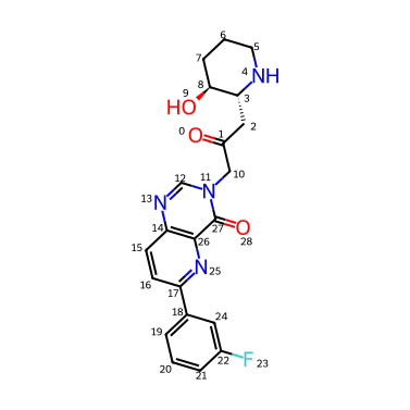 O=C(C[C@H]1NCCC[C@@H]1O)Cn1cnc2ccc(-c3cccc(F)c3)nc2c1=O